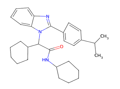 CC(C)c1ccc(-c2nc3ccccc3n2C(C(=O)NC2CCCCC2)C2CCCCC2)cc1